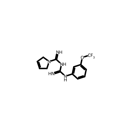 N=C(NC(=N)N1CC=CC1)Nc1cccc(OC(F)(F)F)c1